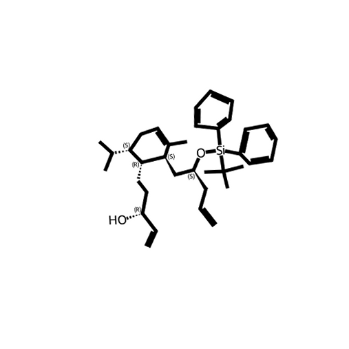 C=CC[C@@H](C[C@@H]1C(C)=CC[C@@H](C(C)C)[C@H]1CC[C@@H](O)C=C)O[Si](c1ccccc1)(c1ccccc1)C(C)(C)C